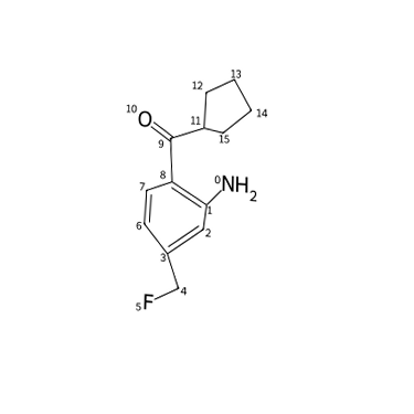 Nc1cc(CF)ccc1C(=O)C1CCCC1